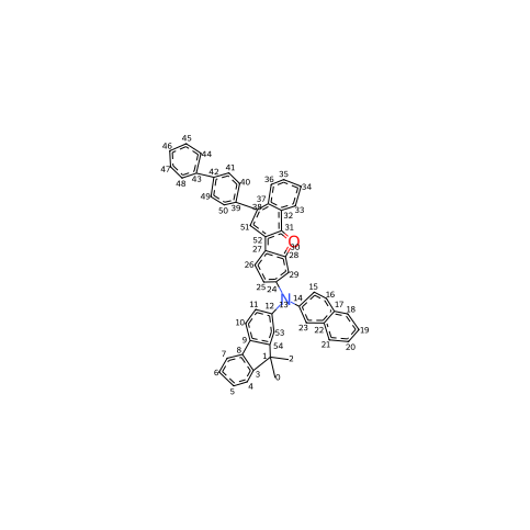 CC1(C)c2ccccc2-c2ccc(N(c3ccc4ccccc4c3)c3ccc4c(c3)oc3c5ccccc5c(-c5ccc(-c6ccccc6)cc5)cc43)cc21